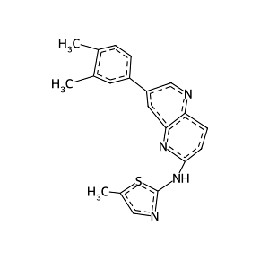 Cc1cnc(Nc2ccc3ncc(-c4ccc(C)c(C)c4)cc3n2)s1